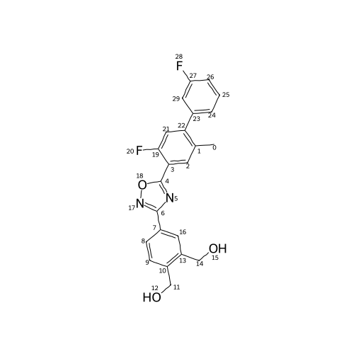 Cc1cc(-c2nc(-c3ccc(CO)c(CO)c3)no2)c(F)cc1-c1cccc(F)c1